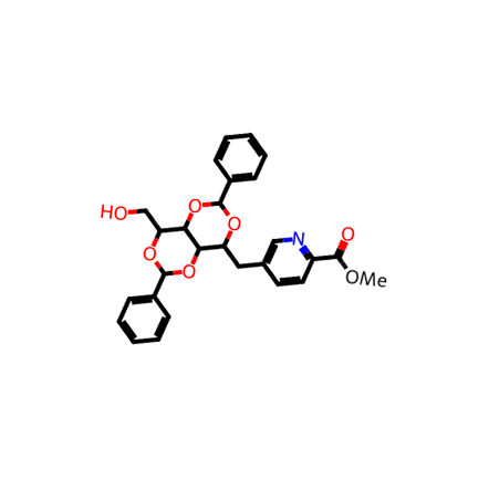 COC(=O)c1ccc(CC2OC(c3ccccc3)OC3C(CO)OC(c4ccccc4)OC23)cn1